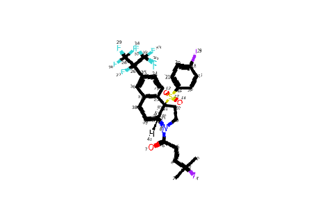 CC(C)(I)CCC(=O)N1CC[C@@]2(S(=O)(=O)c3ccc(I)cc3)c3ccc(C(F)(C(F)(F)F)C(F)(F)F)cc3CC[C@@H]12